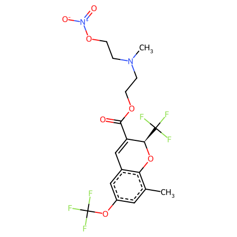 Cc1cc(OC(F)(F)F)cc2c1O[C@H](C(F)(F)F)C(C(=O)OCCN(C)CCO[N+](=O)[O-])=C2